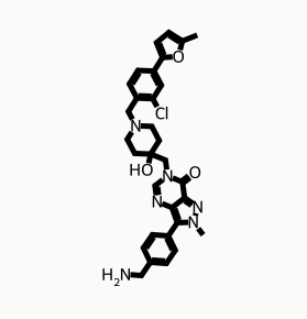 Cc1ccc(-c2ccc(CN3CCC(O)(Cn4cnc5c(-c6ccc(CN)cc6)n(C)nc5c4=O)CC3)c(Cl)c2)o1